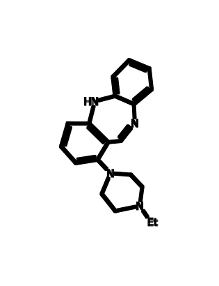 CCN1CCN(c2cccc3c2C=Nc2ccccc2N3)CC1